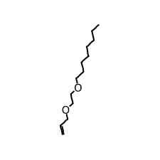 C=CCOCCOCCCCCCCC